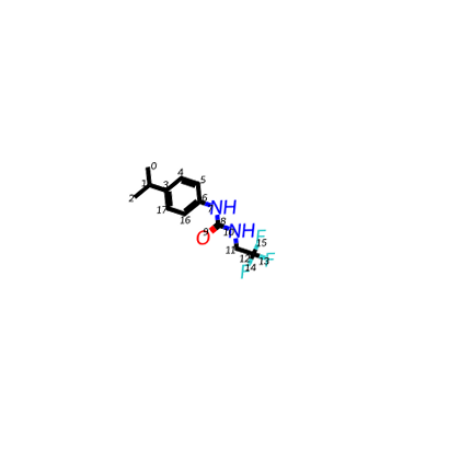 CC(C)c1ccc(NC(=O)NCC(F)(F)F)cc1